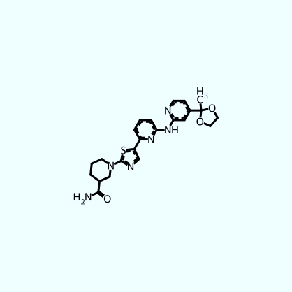 CC1(c2ccnc(Nc3cccc(-c4cnc(N5CCCC(C(N)=O)C5)s4)n3)c2)OCCO1